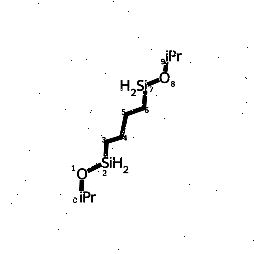 CC(C)O[SiH2]CCCC[SiH2]OC(C)C